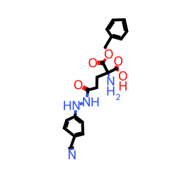 N#Cc1ccc(NNC(=O)CC[C@@](N)(C(=O)O)C(=O)OCc2ccccc2)cc1